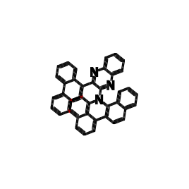 c1ccc2c3c(ccc2c1)-c1cccc2cccc(c12)N3c1nc2ccccc2nc1-c1cc2ccccc2c2ccccc12